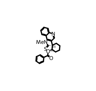 CNC(=S)[C@]1(c2cnc3ccccc3c2)CCCC[C@H]1OC(=O)c1ccccc1